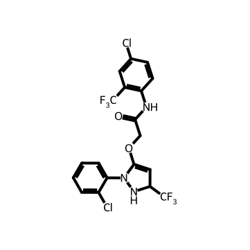 O=C(COC1=CC(C(F)(F)F)NN1c1ccccc1Cl)Nc1ccc(Cl)cc1C(F)(F)F